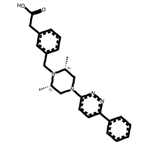 C[C@@H]1CN(c2ccc(-c3ccccc3)nn2)C[C@H](C)N1Cc1cccc(CC(=O)O)c1